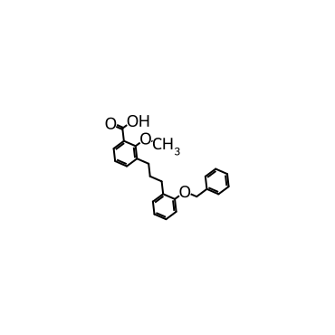 COc1c(CCCc2ccccc2OCc2ccccc2)cccc1C(=O)O